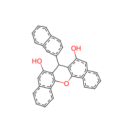 Oc1cc2ccccc2c2c1C(c1ccc3ccccc3c1)c1c(O)cc3ccccc3c1O2